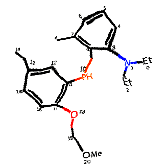 CCN(CC)c1cccc(C)c1Pc1cc(C)ccc1OCOC